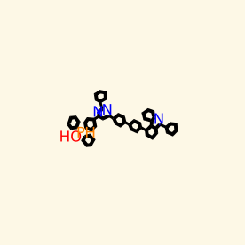 O[PH](c1ccccc1)(c1ccccc1)c1ccc(-c2cc(-c3ccc(-c4ccc(-c5cccc6c(-c7ccccc7)nc7ccccc7c56)cc4)cc3)nc(-c3ccccc3)n2)cc1